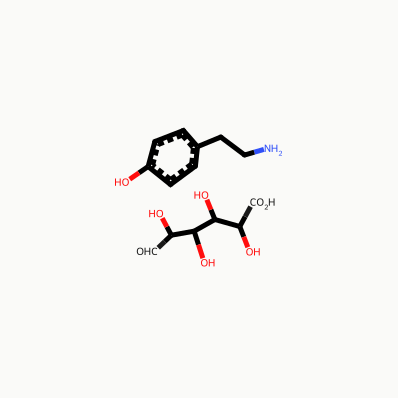 NCCc1ccc(O)cc1.O=CC(O)C(O)C(O)C(O)C(=O)O